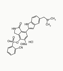 COc1cc(-c2cc3cc(CN(C)C)ccc3[nH]2)c2c(c1OS(=O)(=O)c1ccccc1C#N)CNC2=O.Cl